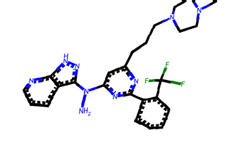 CN1CCN(CCCc2cc(N(N)c3n[nH]c4ncccc34)nc(-c3ccccc3C(F)(F)F)n2)CC1